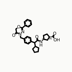 O=C(N[C@H]1CC[C@@H](C(=O)O)C1)C(c1ccc(CN2N=C(c3ccccc3)OCC2=O)cc1)C1CCCC1